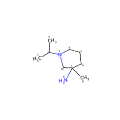 CC(C)N1CCCC(C)(N)C1